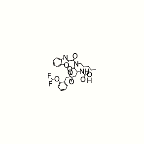 CCCCCN(C(=O)c1nc2ccccc2o1)C(=O)C(CS(=O)(=O)Cc1ccccc1OC(F)F)NC(=O)O